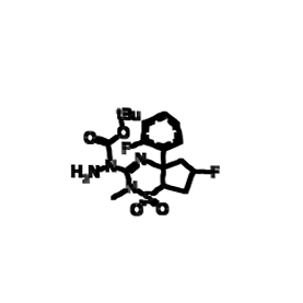 CN1C(N(N)C(=O)OC(C)(C)C)=NC2(c3ccccc3F)CC(F)CC2S1(=O)=O